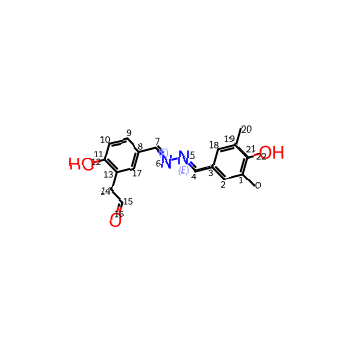 Cc1cc(/C=N/N=C/c2ccc(O)c(CC=O)c2)cc(C)c1O